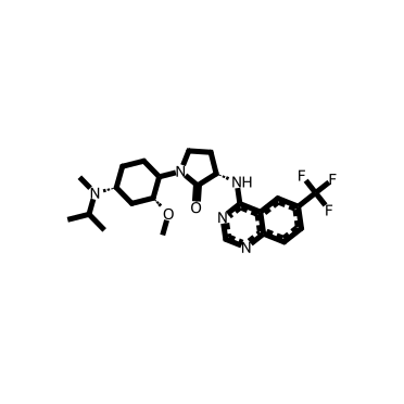 CO[C@@H]1C[C@H](N(C)C(C)C)CCC1N1CC[C@H](Nc2ncnc3ccc(C(F)(F)F)cc23)C1=O